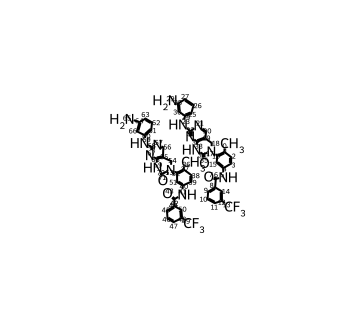 Cc1ccc(NC(=O)c2cccc(C(F)(F)F)c2)cc1N1Cc2cnc(Nc3cccc(N)c3)nc2NC1=O.Cc1ccc(NC(=O)c2cccc(C(F)(F)F)c2)cc1N1Cc2cnc(Nc3cccc(N)c3)nc2NC1=O